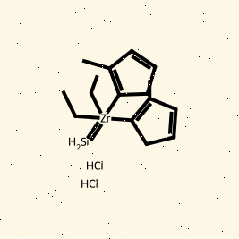 C[CH2][Zr](=[SiH2])([CH2]C)([C]1=C(C)C=CC1)[C]1=C(C)C=CC1.Cl.Cl